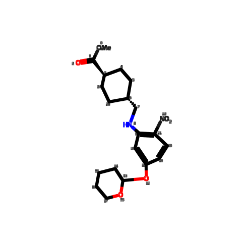 COC(=O)[C@H]1CC[C@H](CNc2cc(OC3CCCCO3)ccc2[N+](=O)[O-])CC1